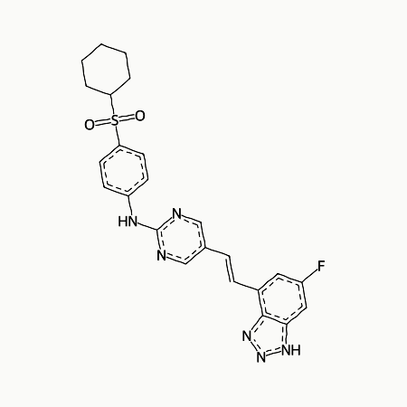 O=S(=O)(c1ccc(Nc2ncc(/C=C/c3cc(F)cc4[nH]nnc34)cn2)cc1)C1CCCCC1